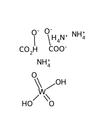 O=C([O-])O.O=C([O-])[O-].[NH4+].[NH4+].[NH4+].[O]=[W](=[O])([OH])[OH]